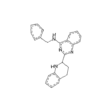 c1ccc(CNc2nc(C3CCc4ccccc4N3)nc3ccccc23)cc1